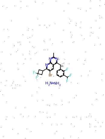 Cc1nc([C@H](C)c2cccc(C(F)F)c2F)c2cc(Br)c(C3CC(F)(F)C3)nc2n1.NN